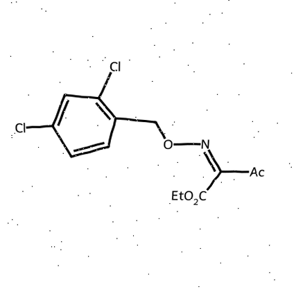 CCOC(=O)/C(=N\OCc1ccc(Cl)cc1Cl)C(C)=O